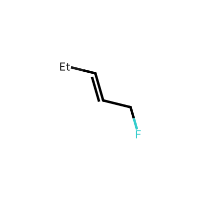 CC/C=C/CF